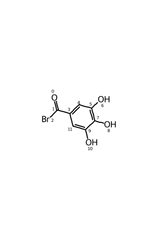 O=C(Br)c1cc(O)c(O)c(O)c1